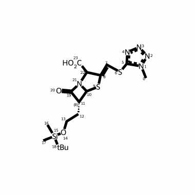 Cn1nnnc1SC=C1SC2[C@H](CCO[Si](C)(C)C(C)(C)C)C(=O)N2C1C(=O)O